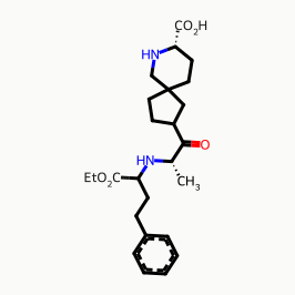 CCOC(=O)C(CCc1ccccc1)N[C@@H](C)C(=O)C1CCC2(CC[C@@H](C(=O)O)NC2)C1